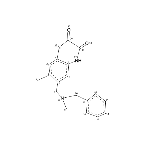 Cc1cc2c(cc1CN(C)Cc1ccccc1)NC(=O)C(=O)[N]2